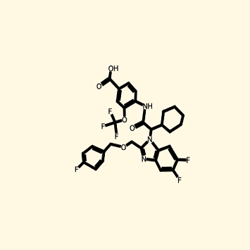 O=C(O)c1ccc(NC(=O)C(C2CCCCC2)n2c(COCc3ccc(F)cc3)nc3cc(F)c(F)cc32)c(OC(F)(F)F)c1